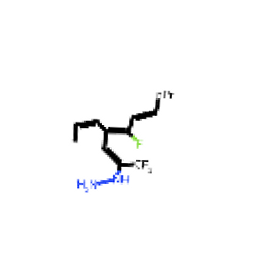 C\C=C/C(/C=C(/NN)C(F)(F)F)=C(F)\C=C\CCC